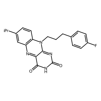 CC(C)c1ccc2c(c1)nc1c(=O)[nH]c(=O)nc-1n2CCCc1ccc(F)cc1